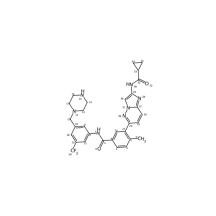 Cc1ccc(C(=O)Nc2cc(CN3CCNCC3)cc(C(F)(F)F)c2)cc1-c1ccc2nc(NC(=O)C3CC3)cn2n1